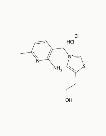 Cc1ccc(C[n+]2csc(CCO)c2)c(N)n1.Cl.[Cl-]